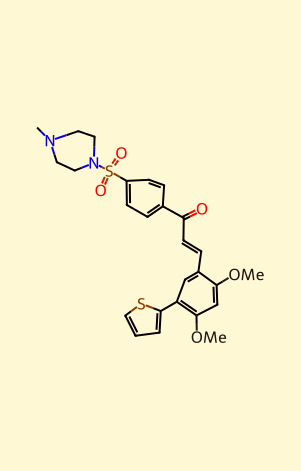 COc1cc(OC)c(-c2cccs2)cc1/C=C/C(=O)c1ccc(S(=O)(=O)N2CCN(C)CC2)cc1